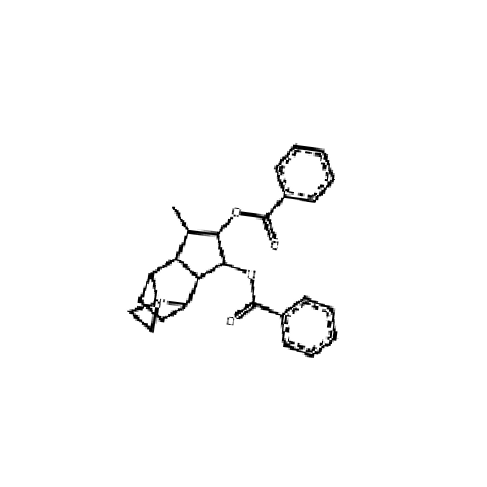 CC1C(OC(=O)c2ccccc2)C(OC(=O)c2ccccc2)C2C1C1CCC2[N+]12CC2